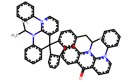 CC(C)N1c2ccccc2C2(c3ccccc3-c3cc(CC(C)n4c5ccccc5c(=O)c5ccc[n+](-c6ccccc6)c54)ccc32)c2ccc[n+](-c3ccccc3)c21